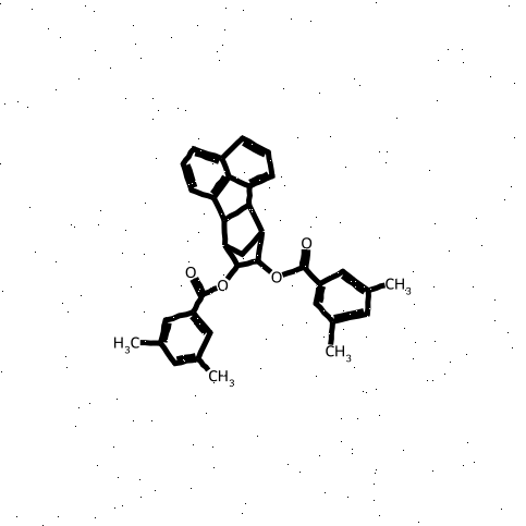 Cc1cc(C)cc(C(=O)OC2C3CC(C2OC(=O)c2cc(C)cc(C)c2)C2c4cccc5cccc(c45)C32)c1